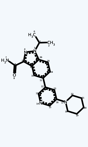 CC(C)n1nc(C(N)=O)c2cc(-c3cncc(N4CCCCC4)c3)ccc21